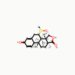 C[S+]([O-])[C@@H]1CC2=CC(=O)C=C[C@]2(C)[C@H]2CC[C@]3(C)C(=O)OC[C@H]3[C@H]12